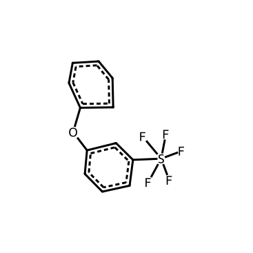 FS(F)(F)(F)(F)c1cccc(Oc2ccccc2)c1